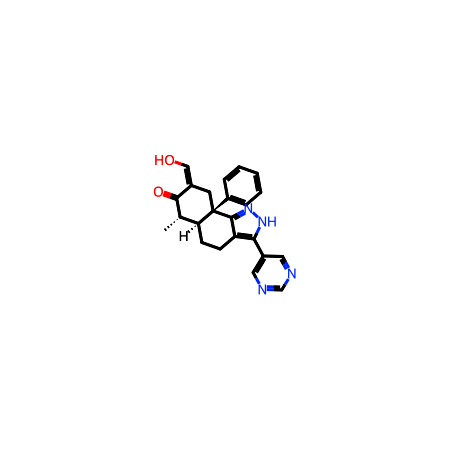 C[C@@H]1C(=O)/C(=C\O)C[C@]2(c3ccccc3)c3n[nH]c(-c4cncnc4)c3CC[C@@H]12